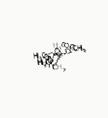 [CH2]C(C)C[CH]C[C@@H]1[C@@H](Cc2ccc(OC)c(OC)c2)CO[C@@H]1c1ccc(OC)c(OC)c1